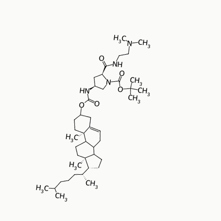 CC(C)CCC[C@@H](C)[C@H]1CCC2C3CC=C4CC(OC(=O)N[C@H]5C[C@@H](C(=O)NCCN(C)C)N(C(=O)OC(C)(C)C)C5)CC[C@]4(C)C3CC[C@@]21C